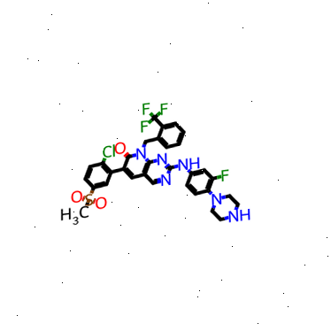 CS(=O)(=O)c1ccc(Cl)c(-c2cc3cnc(Nc4ccc(N5CCNCC5)c(F)c4)nc3n(Cc3ccccc3C(F)(F)F)c2=O)c1